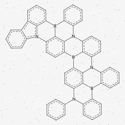 c1ccc(N2c3ccccc3B3c4ccccc4N4c5cccc6c5B(c5ccc2c3c54)c2ccc3c4c2N6c2ccccc2B4c2cccc4c5ccccc5n-3c24)cc1